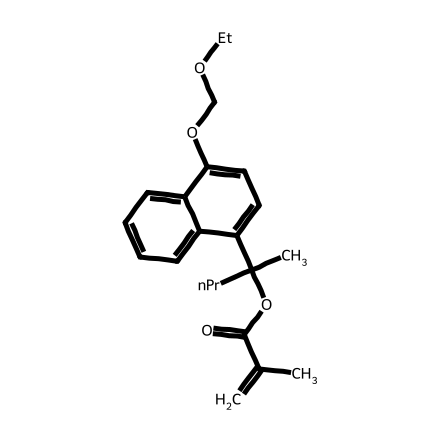 C=C(C)C(=O)OC(C)(CCC)c1ccc(OCOCC)c2ccccc12